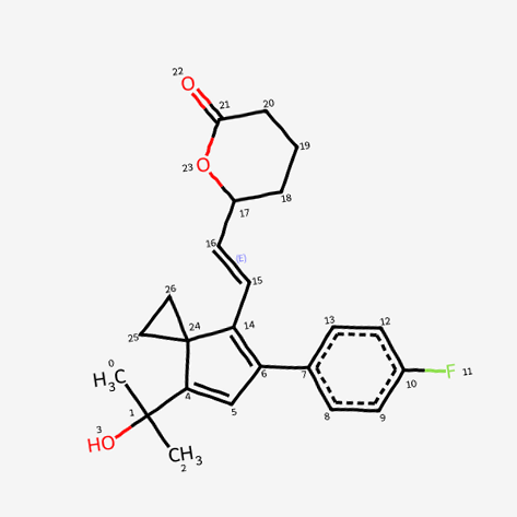 CC(C)(O)C1=CC(c2ccc(F)cc2)=C(/C=C/C2CCCC(=O)O2)C12CC2